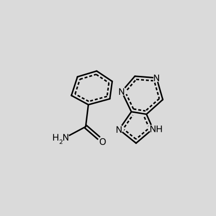 NC(=O)c1ccccc1.c1ncc2[nH]cnc2n1